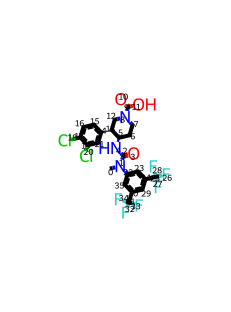 CN(C(=O)N[C@@H]1CCN(C(=O)O)C[C@H]1c1ccc(Cl)c(Cl)c1)c1cc(C(F)(F)F)cc(C(F)(F)F)c1